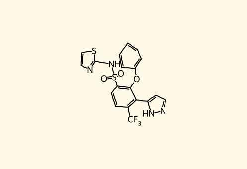 O=S(=O)(Nc1nccs1)c1ccc(C(F)(F)F)c(-c2ccn[nH]2)c1Oc1ccccc1